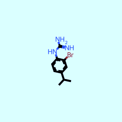 CC(C)c1ccc(NC(=N)N)c(Br)c1